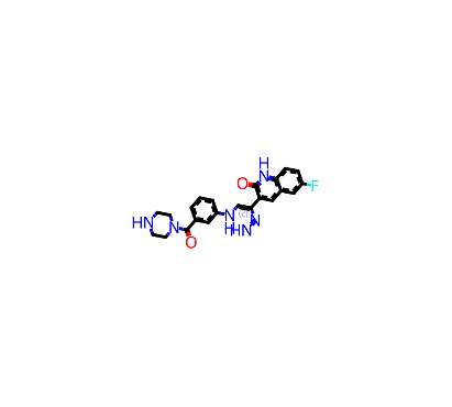 N=N/C(=C\Nc1cccc(C(=O)N2CCNCC2)c1)c1cc2cc(F)ccc2[nH]c1=O